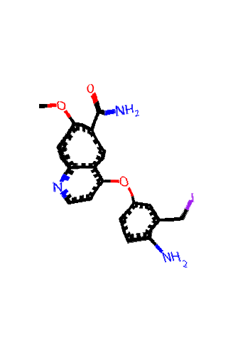 COc1cc2nccc(Oc3ccc(N)c(CI)c3)c2cc1C(N)=O